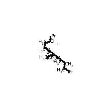 C/C(=C\COC(=O)CCCN(CCCC(=O)OC/C=C(\C)CCCC(C)CCCC(C)CCCC(C)C)C(=O)CCCN(C)C)CCCC(C)CCCC(C)CCCC(C)C